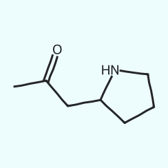 CC(=O)CC1CCCN1